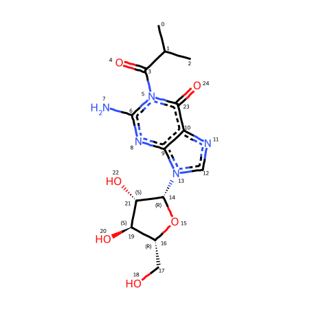 CC(C)C(=O)n1c(N)nc2c(ncn2[C@@H]2O[C@H](CO)[C@@H](O)[C@@H]2O)c1=O